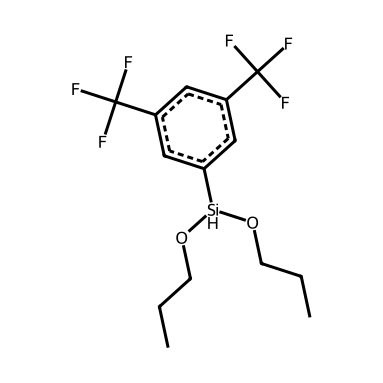 CCCO[SiH](OCCC)c1cc(C(F)(F)F)cc(C(F)(F)F)c1